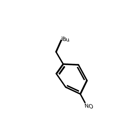 CCC(C)Cc1ccc(N=O)cc1